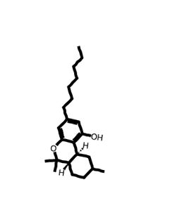 CCCCCCCc1cc(O)c2c(c1)OC(C)(C)[C@H]1CCC(C)C[C@H]21